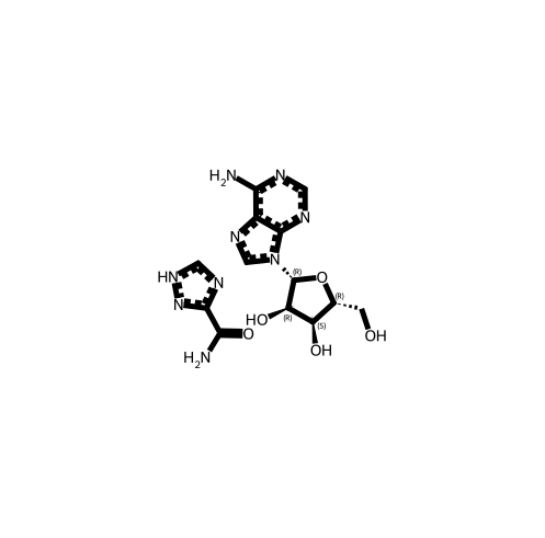 NC(=O)c1nc[nH]n1.Nc1ncnc2c1ncn2[C@@H]1O[C@H](CO)[C@@H](O)[C@H]1O